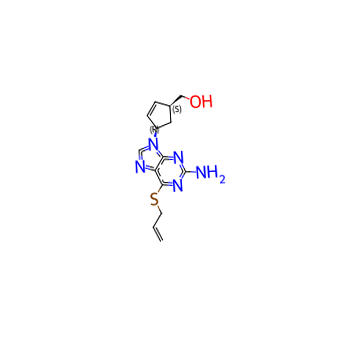 C=CCSc1nc(N)nc2c1ncn2[C@H]1C=C[C@@H](CO)C1